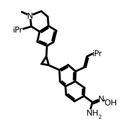 CC(C)C=Cc1cc(C2CC2c2ccc3c(c2)C(C(C)C)N(C)CC3)cc2ccc(C(N)=NO)cc12